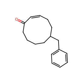 O=C1/C=C\CCC(Cc2ccccc2)CCCC1